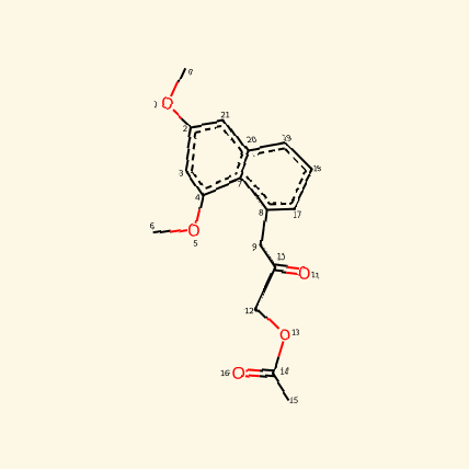 COc1cc(OC)c2c(CC(=O)COC(C)=O)cccc2c1